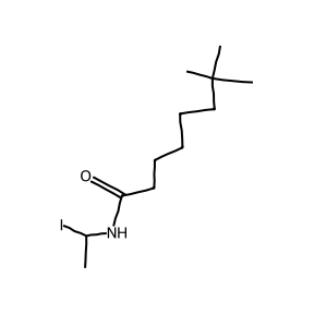 CC(I)NC(=O)CCCCCC(C)(C)C